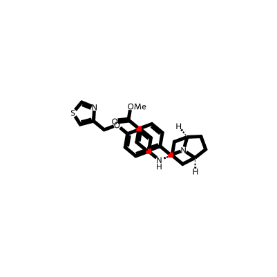 COC(=O)c1ccc(CN2[C@@H]3CC[C@H]2C[C@H](Nc2ccc(OCc4cscn4)cc2)C3)cc1